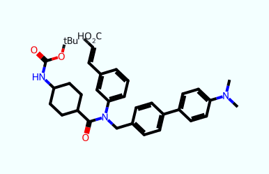 CN(C)c1ccc(-c2ccc(CN(C(=O)C3CCC(NC(=O)OC(C)(C)C)CC3)c3cccc(C=CC(=O)O)c3)cc2)cc1